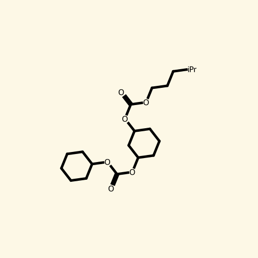 CC(C)CCCOC(=O)OC1CCCC(OC(=O)OC2CCCCC2)C1